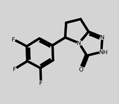 O=c1[nH]nc2n1C(c1cc(F)c(F)c(F)c1)CC2